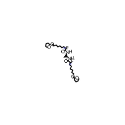 O=C(N[C@@H]1C[C@@H]1NC(=O)/C(F)=C\CCCCCOC1CCCCO1)/C(F)=C/CCCCCOC1CCCCO1